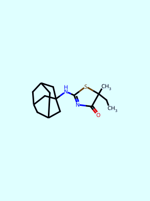 CCC1(C)SC(NC23CC4CC(CC(C4)C2)C3)=NC1=O